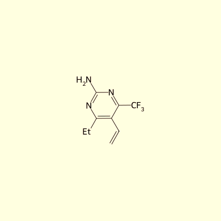 C=Cc1c(CC)nc(N)nc1C(F)(F)F